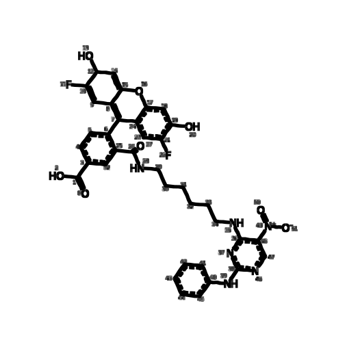 O=C(O)c1ccc(C2=C3C=C(F)C(O)C=C3Oc3cc(O)c(F)cc32)c(C(=O)NCCCCCCNc2nc(Nc3ccccc3)ncc2[N+](=O)[O-])c1